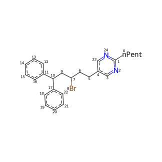 CCCCCc1ncc(CCC(Br)CC(c2ccccc2)c2ccccc2)cn1